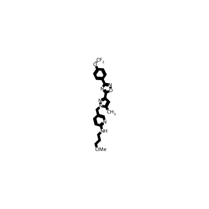 COCCCNc1ccc(Cn2nc(-c3nc(-c4ccc(OC(F)(F)F)cc4)no3)cc2C)cn1